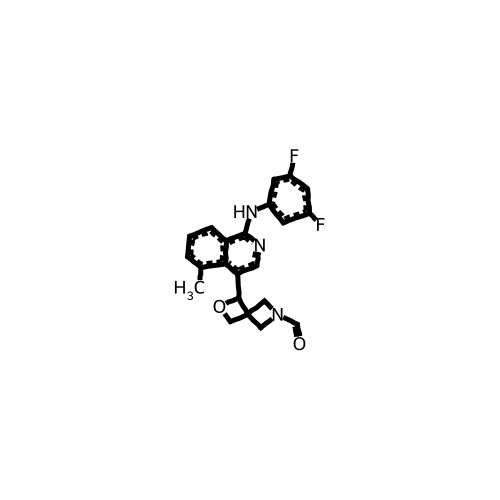 Cc1cccc2c(Nc3cc(F)cc(F)c3)ncc(C3OCC34CN(C=O)C4)c12